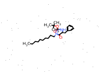 CCCCCCCCCCNC(=O)[C@H](Cc1ccccc1)NC(=O)OC(C)(C)C